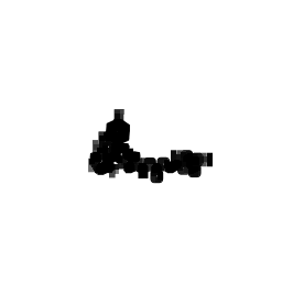 CC(OC(=O)OCCOP(=O)(O)O)[n+]1cnn(CC(O)(c2ccc(F)cc2F)[C@@H](C)c2ncncc2F)c1